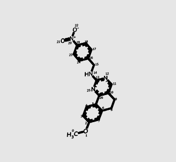 COc1ccc2c(c1)CCc1cnc(NCc3ccc([N+](=O)[O-])cc3)nc1-2